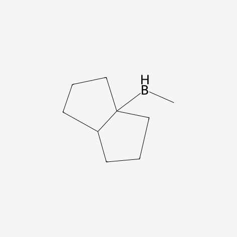 CBC12CCCC1CCC2